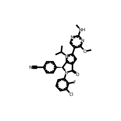 CNc1ncc(-c2cc3c(n2C(C)C)[C@H](c2ccc(C#N)cc2)N(c2cccc(Cl)c2F)C3=O)c(OC)n1